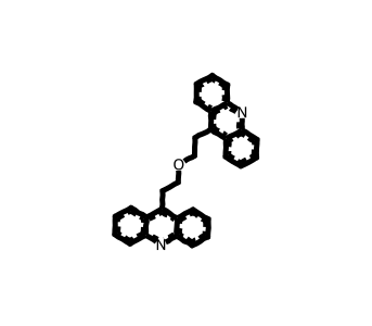 c1ccc2c(CCOCCc3c4ccccc4nc4ccccc34)c3ccccc3nc2c1